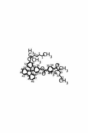 CCCCCC(C)(C)Oc1ccc(C2(c3ccc(OC(=O)c4ccc(C(=O)C(C)(C)CCCC)cc4)cc3)c3ccccc3-c3ccccc32)cc1